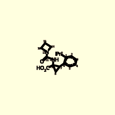 CC(C)c1ccccc1C1CC1(NC(=O)N1CCC1)C(=O)O